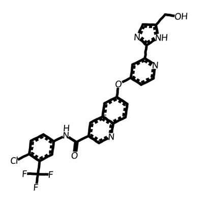 O=C(Nc1ccc(Cl)c(C(F)(F)F)c1)c1cnc2ccc(Oc3ccnc(-c4ncc(CO)[nH]4)c3)cc2c1